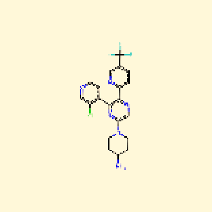 NC1CCN(c2cnc(-c3ccc(C(F)(F)F)cn3)c(-c3ccncc3Cl)n2)CC1